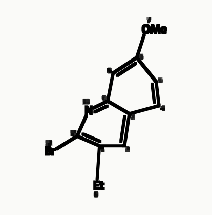 CCc1cc2ccc(OC)cc2nc1Br